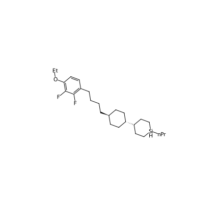 CCC[SiH]1CCC([C@H]2CC[C@H](CCCCc3ccc(OCC)c(F)c3F)CC2)CC1